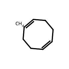 C.C1=CCCC=CCC1